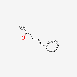 CCC(=O)CC/C=C/c1ccccc1